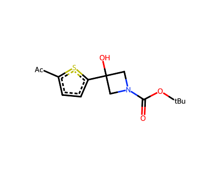 CC(=O)c1ccc(C2(O)CN(C(=O)OC(C)(C)C)C2)s1